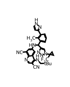 Cc1c(-c2cc[nH]n2)cccc1C(Nc1cc(C#N)c2ncc(C#N)c(NCC(C)(C)C)c2c1)c1cn(C2(C(F)(F)F)CC2)nn1